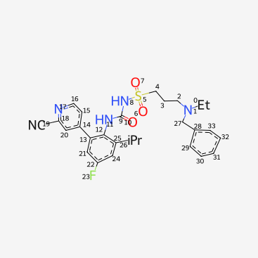 CCN(CCCS(=O)(=O)NC(=O)Nc1c(-c2ccnc(C#N)c2)cc(F)cc1C(C)C)Cc1ccccc1